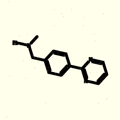 [CH2]CN(C)Cc1ccc(-c2ncccn2)cc1